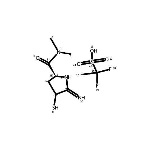 CN(C)C(=O)[C@@H]1CC(S)C(=N)N1.O=S(=O)(O)C(F)(F)F